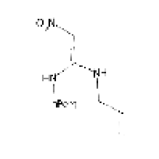 C=CCNC(=C[N+](=O)[O-])NCCCCC